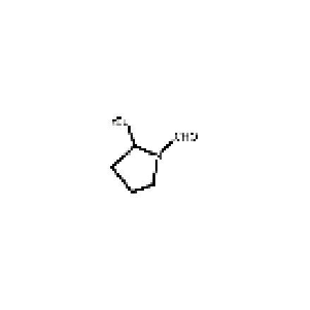 CC(C)(C)C1CCCN1C=O